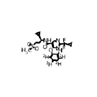 [2H]c1c([2H])c([2H])c(Oc2nc(C(F)(F)C3CC3)ncc2C(=O)NC(C=CS(C)(=O)=O)C2CC2)c([2H])c1[2H]